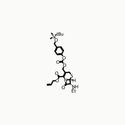 C=CCOC(=O)C1=C(COC(=O)Oc2ccc(CO[Si](C)(C)C(C)(C)C)cc2)CS[C@@H]2[C@H](NCC)C(=O)N12